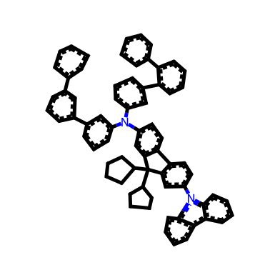 c1ccc(-c2cccc(-c3cccc(N(c4cccc(-c5ccccc5-c5ccccc5)c4)c4ccc5c(c4)C(C4CCCC4)(C4CCCC4)c4cc(-n6c7ccccc7c7ccccc76)ccc4-5)c3)c2)cc1